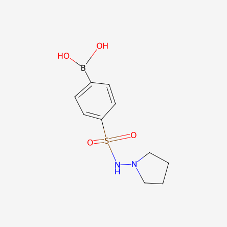 O=S(=O)(NN1CCCC1)c1ccc(B(O)O)cc1